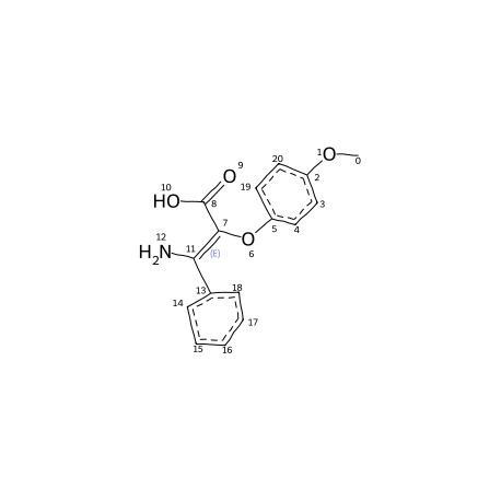 COc1ccc(O/C(C(=O)O)=C(/N)c2ccccc2)cc1